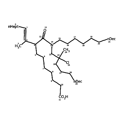 CCCCCCC/C=C(\C)C(CCCCCCC(=O)O)C(=O)N(CCCCCCCCCCCCCCCC)CC(C)(Cl)CCCCCCCCCCCCC